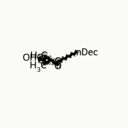 CCCCCCCCCCCCCCCCCCOC(=O)CCc1cc(C)c(OC=O)c(C)c1